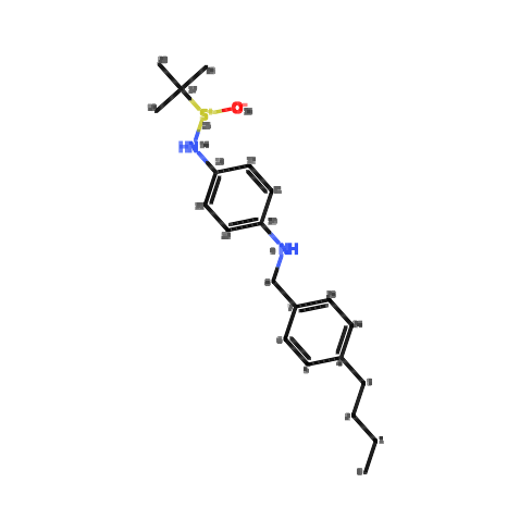 CCCCc1ccc(CNc2ccc(N[S+]([O-])C(C)(C)C)cc2)cc1